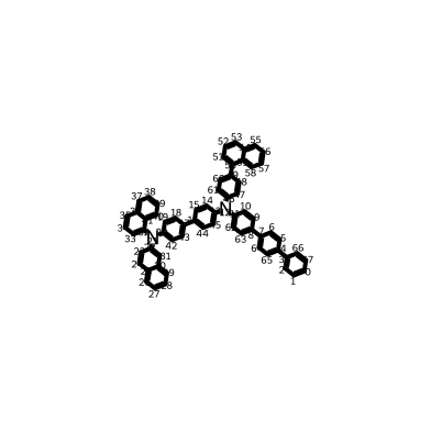 c1ccc(-c2ccc(-c3ccc(N(c4ccc(-c5ccc(N(c6ccc7ccccc7c6)c6cccc7ccccc67)cc5)cc4)c4ccc(-c5cccc6ccccc56)cc4)cc3)cc2)cc1